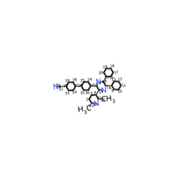 Cc1ccc(-c2nc(-c3ccccc3)c(-c3ccccc3)nc2-c2ccc(-c3ccc(C#N)cc3)cc2)c(C)n1